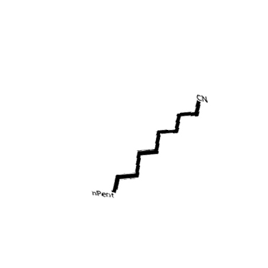 CCCCCCCCC[CH]CCCC#N